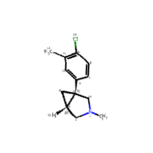 CN1C[C@@H]2C[C@]2(c2ccc(Cl)c(C(F)(F)F)c2)C1